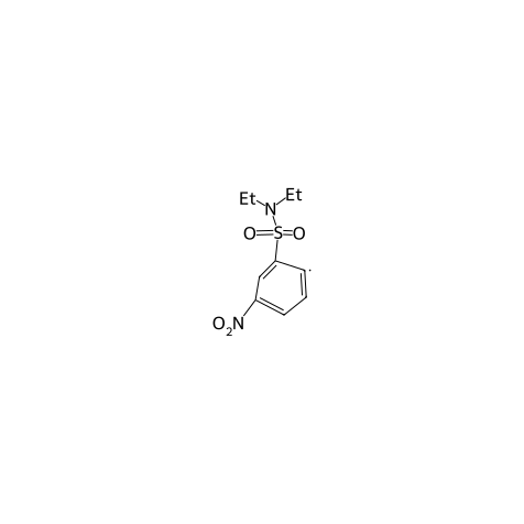 CCN(CC)S(=O)(=O)c1[c]ccc([N+](=O)[O-])c1